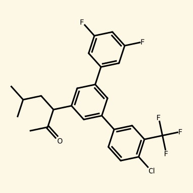 CC(=O)C(CC(C)C)c1cc(-c2cc(F)cc(F)c2)cc(-c2ccc(Cl)c(C(F)(F)F)c2)c1